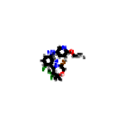 CC1(C)OCC(=S)N[C@](C)(c2cc(Nc3ccc(OCC(F)(F)F)nc3)ccc2F)C1(F)F